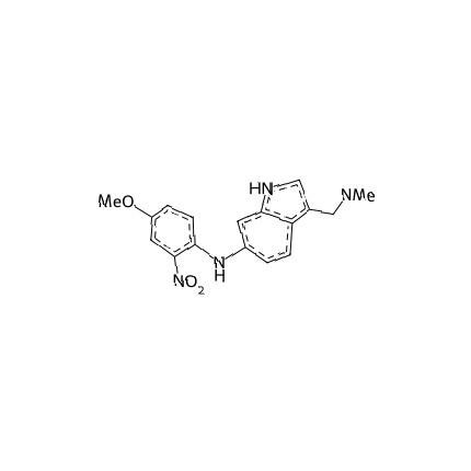 CNCc1c[nH]c2cc(Nc3ccc(OC)cc3[N+](=O)[O-])ccc12